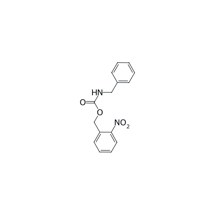 O=C(NCc1ccccc1)OCc1ccccc1[N+](=O)[O-]